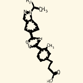 Cc1cc(CCC(=O)O)ccc1-c1noc(-c2ccc3c(cnn3C(C)C)c2)n1